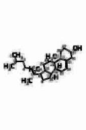 CC(C)CCC[C@@H](C)C1CC[C@@H]2[C@@H]3CC=C4C[C@@H](O)CC[C@]4(C)C3CC[C@]12C